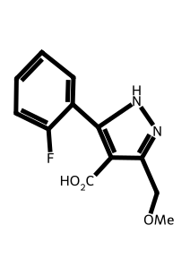 COCc1n[nH]c(-c2ccccc2F)c1C(=O)O